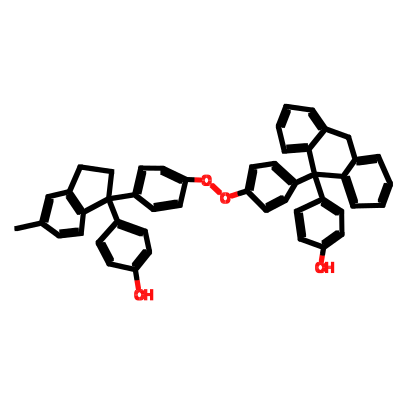 Cc1ccc2c(c1)CCC2(c1ccc(O)cc1)c1ccc(OOc2ccc(C3(c4ccc(O)cc4)c4ccccc4Cc4ccccc43)cc2)cc1